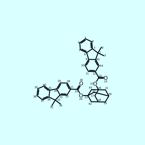 CC1(C)c2ccccc2-c2ccc(C(=O)OC34CC5CC(C3)CC(OC(=O)c3ccc6c(c3)C(C)(C)c3ccccc3-6)(C5)C4)cc21